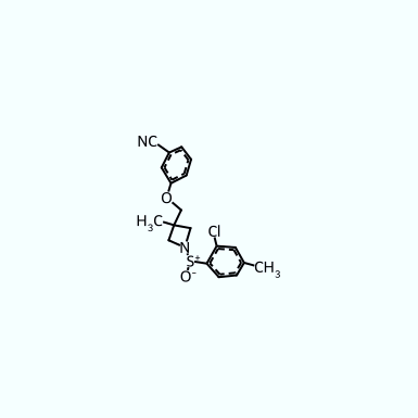 Cc1ccc([S+]([O-])N2CC(C)(COc3cccc(C#N)c3)C2)c(Cl)c1